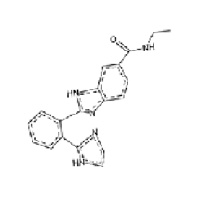 CCNC(=O)c1ccc2nc(-c3ccccc3-c3ncc[nH]3)[nH]c2c1